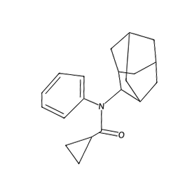 O=C(C1CC1)N(c1ccccc1)C1C2CC3CC(C2)CC1C3